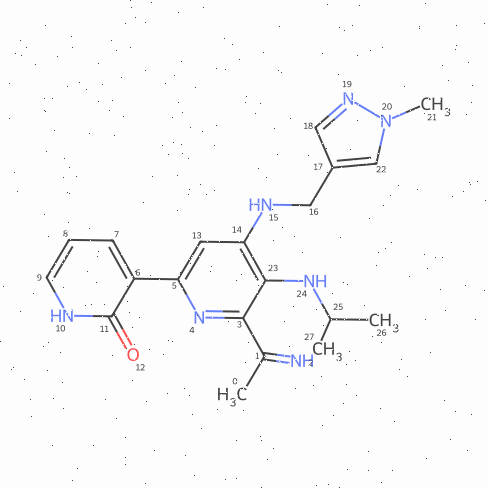 CC(=N)c1nc(-c2ccc[nH]c2=O)cc(NCc2cnn(C)c2)c1NC(C)C